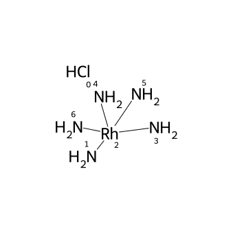 Cl.[NH2][Rh]([NH2])([NH2])([NH2])[NH2]